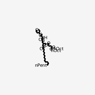 CCCCC/C=C\C/C=C\CCCCCCCC(=O)OCC(COC(=O)CCC(OCCCCCCCC)OCCCCCCCC)COC(=O)NC1CN(C2CCOCC2)C1